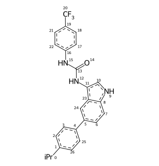 CC(C)c1ccc(-c2ccc3[nH]cc(NC(=O)Nc4ccc(C(F)(F)F)cc4)c3c2)cc1